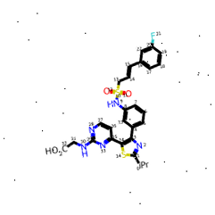 CC(C)c1nc(-c2cccc(NS(=O)(=O)CC=Cc3cccc(F)c3)c2)c(-c2ccnc(NCC(=O)O)n2)s1